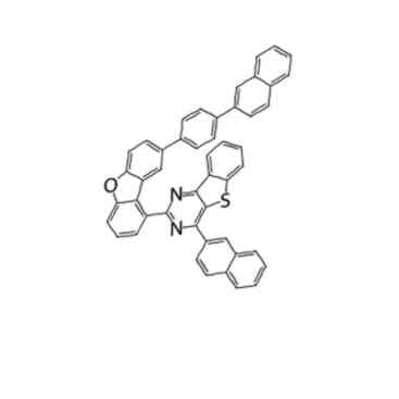 c1ccc2cc(-c3ccc(-c4ccc5oc6cccc(-c7nc(-c8ccc9ccccc9c8)c8sc9ccccc9c8n7)c6c5c4)cc3)ccc2c1